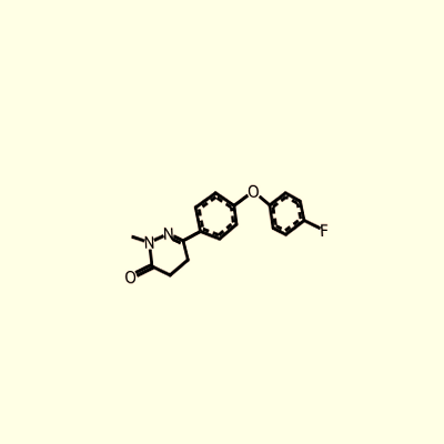 CN1N=C(c2ccc(Oc3ccc(F)cc3)cc2)CCC1=O